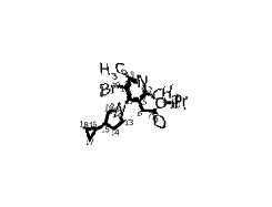 Cc1nc(C)c(CC(=O)OC(C)C)c(N2CCC(C3CC3)C2)c1Br